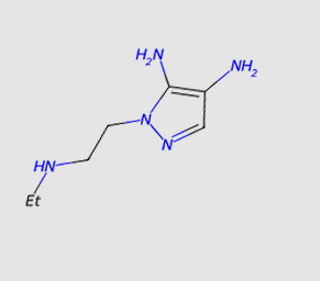 CCNCCn1ncc(N)c1N